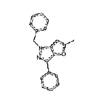 Cc1cc2c(o1)c(-c1ccccc1)nn2Cc1ccccc1